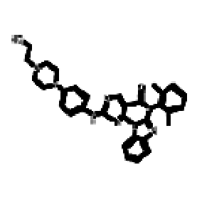 Cc1cccc(C)c1-n1c(=O)c2cnc(Nc3ccc(N4CCN(CCO)CC4)cc3)nc2n2c3ccccc3nc12